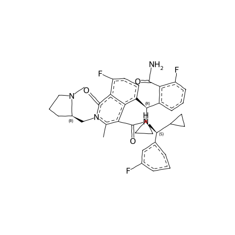 Cc1c(C(=O)N[C@H](c2cccc(F)c2)C2CC2)c2c([C@@H](c3cccc(F)c3C(N)=O)C3CC3)ccc(F)c2c(=O)n1C[C@H]1CCCN1C